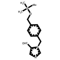 CC(C)(C)[Si](C)(C)OCc1ccc(Cn2cncc2C=O)cc1